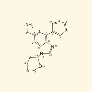 NCc1cc(-c2ccccc2)c2ncn(C3CCCCO3)c2c1